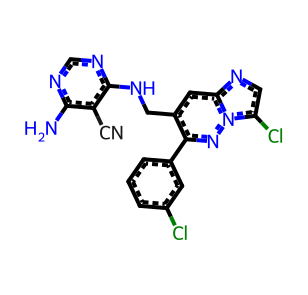 N#Cc1c(N)ncnc1NCc1cc2ncc(Cl)n2nc1-c1cccc(Cl)c1